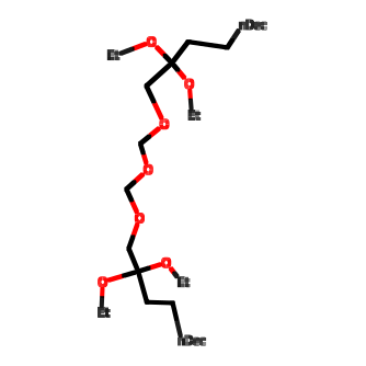 CCCCCCCCCCCCC(COCOCOCC(CCCCCCCCCCCC)(OCC)OCC)(OCC)OCC